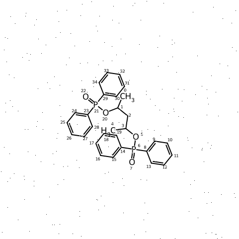 CC(CC(C)OP(=O)(c1ccccc1)c1ccccc1)OP(=O)(c1ccccc1)c1ccccc1